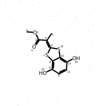 COC(=O)C(C)=C1Sc2c(O)ccc(O)c2S1